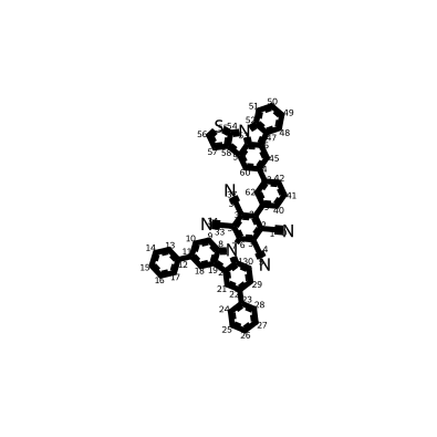 N#Cc1c(C#N)c(-n2c3ccc(-c4ccccc4)cc3c3cc(-c4ccccc4)ccc32)c(C#N)c(C#N)c1-c1cccc(-c2cc3c4ccccc4n4c5sccc5c(c2)c34)c1